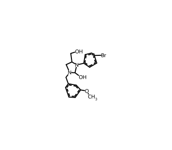 COc1cccc(CN2CC(CO)N(c3ccc(Br)cc3)C2O)c1